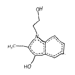 Cc1c(O)c2c[c]ccc2n1CCO